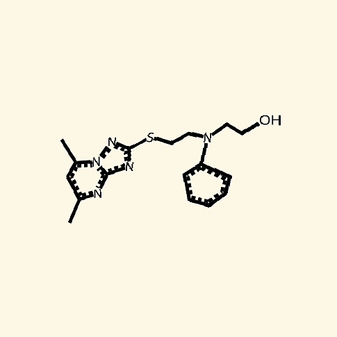 Cc1cc(C)n2nc(SCCN(CCO)c3ccccc3)nc2n1